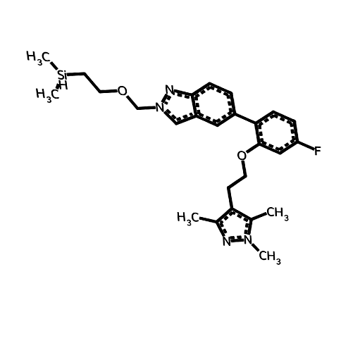 Cc1nn(C)c(C)c1CCOc1cc(F)ccc1-c1ccc2nn(COCC[SiH](C)C)cc2c1